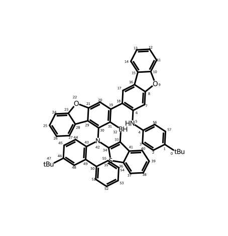 CC(C)(C)c1ccc(Nc2cc3oc4ccccc4c3cc2-c2cc3oc4ccccc4c3c3c2Bc2c(sc4ccccc24)N3c2ccc(C(C)(C)C)cc2-c2ccccc2)cc1